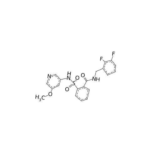 COc1cncc(NS(=O)(=O)c2ccccc2C(=O)NCc2cccc(F)c2F)c1